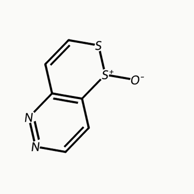 [O-][S+]1SC=Cc2nnccc21